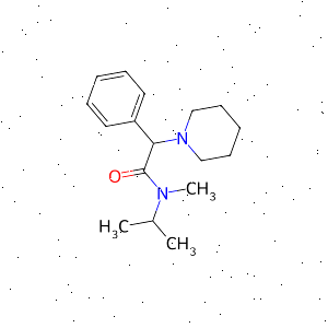 CC(C)N(C)C(=O)C(c1ccccc1)N1CCCCC1